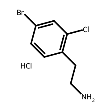 Cl.NCCc1ccc(Br)cc1Cl